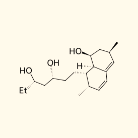 CC[C@H](O)C[C@H](O)CC[C@@H]1[C@@H]2C(=C[C@H](C)C[C@@H]2O)C=C[C@@H]1C